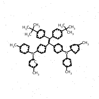 Cc1ccc(N(c2ccc(C)cc2)c2ccc(C(=C(c3ccc(C(C)(C)C)cc3)c3ccc(C(C)(C)C)cc3)c3ccc(N(c4ccc(C)cc4)c4ccc(C)cc4)cc3)cc2)cc1